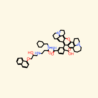 O=C(NN(CC1CCCCC1)C(=O)CCNCC(O)COc1cccc2ccccc12)c1ccc(C(=O)O)c(C2=c3cc4c5c(c3Oc3c2cc2c6c3CCCN6CCCC2)CCC[N+]=5CCC4)c1